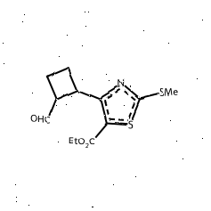 CCOC(=O)c1sc(SC)nc1C1CCC1C=O